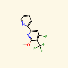 COc1nc(-c2ccccn2)cc(F)c1C(F)(F)F